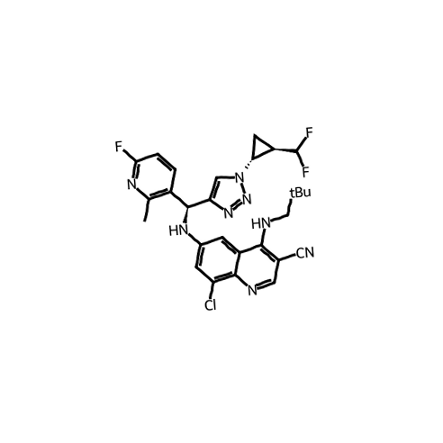 Cc1nc(F)ccc1[C@H](Nc1cc(Cl)c2ncc(C#N)c(NCC(C)(C)C)c2c1)c1cn([C@@H]2C[C@H]2C(F)F)nn1